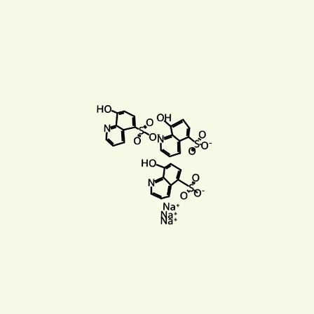 O=S(=O)([O-])c1ccc(O)c2ncccc12.O=S(=O)([O-])c1ccc(O)c2ncccc12.O=S(=O)([O-])c1ccc(O)c2ncccc12.[Na+].[Na+].[Na+]